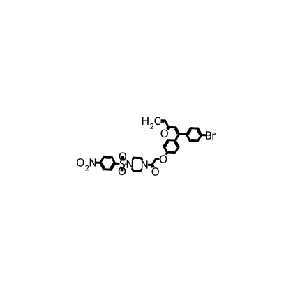 C=CC(=O)C=C(c1ccc(Br)cc1)c1ccc(OCC(=O)N2CCN(S(=O)(=O)c3ccc([N+](=O)[O-])cc3)CC2)cc1